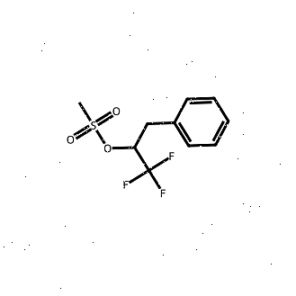 CS(=O)(=O)OC(Cc1ccccc1)C(F)(F)F